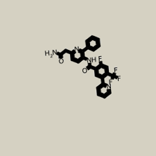 NC(=O)Cc1ccc(NC(=O)c2cc(-c3ccccn3)c(C(F)(F)F)cc2F)c(-c2ccccc2)n1